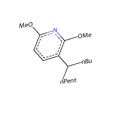 CCCCCC(CCCC)c1ccc(OC)nc1OC